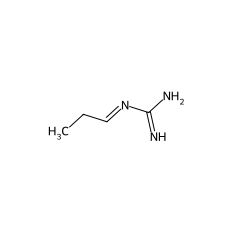 CCC=NC(=N)N